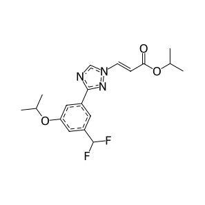 CC(C)OC(=O)C=Cn1cnc(-c2cc(OC(C)C)cc(C(F)F)c2)n1